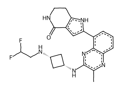 Cc1nc2cccc(-c3cc4c([nH]3)CCNC4=O)c2nc1N[C@H]1C[C@@H](NCC(F)F)C1